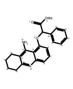 COC(=O)C(Oc1cccc2nc3c(c(N)c12)CCCC3)c1ccccc1